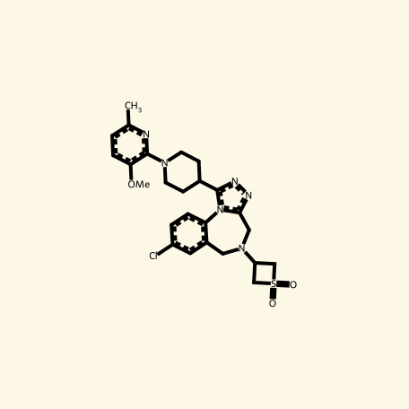 COc1ccc(C)nc1N1CCC(c2nnc3n2-c2ccc(Cl)cc2CN(C2CS(=O)(=O)C2)C3)CC1